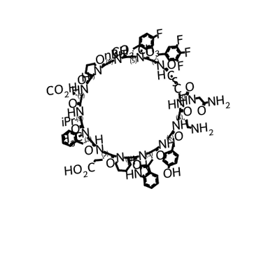 CCCC[C@H]1C(=O)N2CCC[C@@H]2C(=O)N[C@@H](CC(=O)O)C(=O)N[C@@H](C(C)C)C(=O)N(C)[C@@H](Cc2ccccc2)C(=O)N[C@@H](CCC(=O)O)C(=O)N2CCCC[C@@H]2C(=O)N[C@@H](Cc2c[nH]c3ccccc23)C(=O)N[C@@H](Cc2ccc(O)cc2)C(=O)N[C@@H](CCN)C(=O)N[C@H](C(=O)NCC(N)=O)CSCC(=O)N[C@@H](Cc2cc(F)c(F)c(F)c2)C(=O)N(C)[C@@H](Cc2ccc(F)cc2)C(=O)N1C